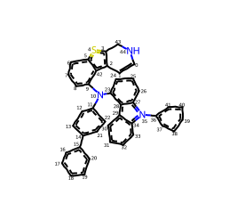 C1=Cc2c(sc3cccc(N(c4ccc(-c5ccccc5)cc4)c4cccc5c4c4ccccc4n5-c4ccccc4)c23)CN1